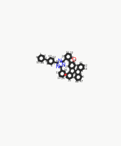 c1ccc(-c2ccc(-c3nc(-c4ccccc4)nc(-c4cccc5oc6cc7c(cc6c45)-c4ccccc4C74c5ccccc5-c5ccccc54)n3)cc2)cc1